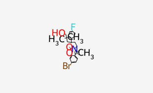 C[C@@H](c1ccc(Br)cc1)N1CCC(CC(C)(C)CO)(c2ccc(F)cc2)OC1=O